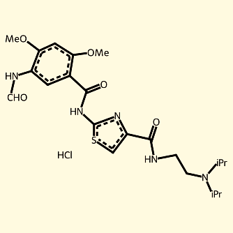 COc1cc(OC)c(C(=O)Nc2nc(C(=O)NCCN(C(C)C)C(C)C)cs2)cc1NC=O.Cl